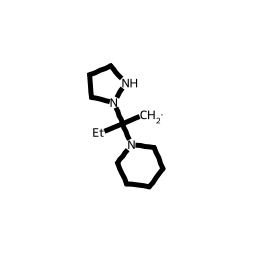 [CH2]C(CC)(N1CCCCC1)N1CCCN1